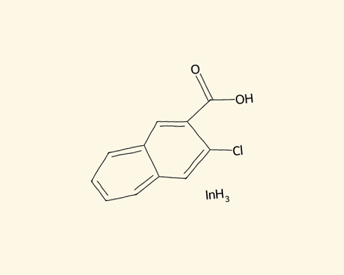 O=C(O)c1cc2ccccc2cc1Cl.[InH3]